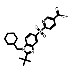 CC(C)(C)c1nc2cc(S(=O)(=O)c3ccc(C(=O)O)cn3)ccc2n1CC1CCCCC1